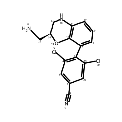 N#Cc1cc(Cl)c(-c2cccc3c2O[C@@H](CN)CN3)c(Cl)c1